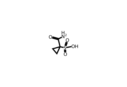 NC(=O)C1(S(=O)(=O)O)CC1